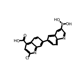 O=C(O)c1cc(Cl)nc2cc(-c3ccc4ncc(B(O)O)cc4c3)ccc12